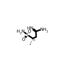 C[C@@H](CC(=N)N)S(N)(=O)=O